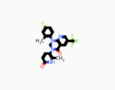 Cc1cc(F)ccc1N1CN(c2ccc(=O)[nH]c2C)C(=O)c2cc(C(F)(F)F)cnc21